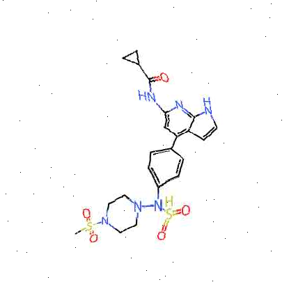 CS(=O)(=O)N1CCN(N(c2ccc(-c3cc(NC(=O)C4CC4)nc4[nH]ccc34)cc2)[SH](=O)=O)CC1